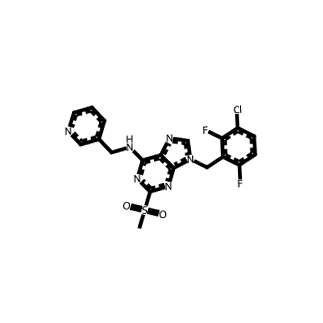 CS(=O)(=O)c1nc(NCc2cccnc2)c2ncn(Cc3c(F)ccc(Cl)c3F)c2n1